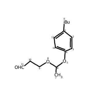 CCC(C)c1ccc(OC(C)OCCC=O)cc1